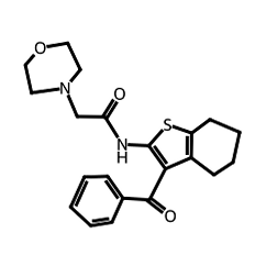 O=C(CN1CCOCC1)Nc1sc2c(c1C(=O)c1ccccc1)CCCC2